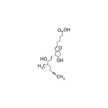 CC#CCCC(C)[C@H](O)/C=C/[C@@H]1c2cc(CCCCC(=O)O)oc2C[C@H]1O